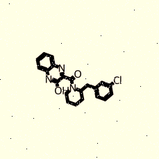 O=C(c1nc2ccccc2nc1O)N1CCCCC1Cc1cccc(Cl)c1